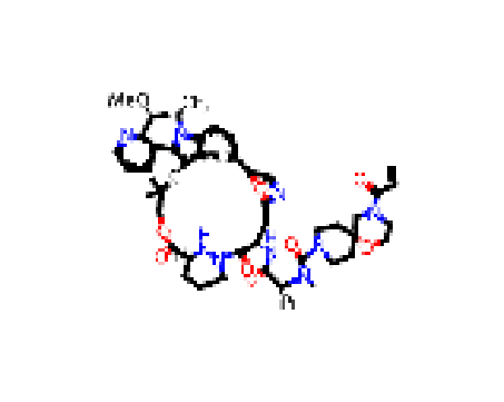 C=CC(=O)N1CCOC2(CCN(C(=O)N(C)[C@H](C(=O)N[C@H]3Cc4ncc(o4)-c4ccc5c(c4)c(c(-c4cccnc4[C@H](C)OC)n5CC(F)(F)F)CC(C)(C)COC(=O)[C@@H]4CCCN(N4)C3=O)C(C)C)CC2)C1